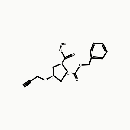 C#CCO[C@@H]1C[C@@H](C(=O)OCc2ccccc2)N(C(=O)OC(C)(C)C)C1